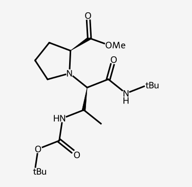 COC(=O)[C@@H]1CCCN1[C@@H](C(=O)NC(C)(C)C)C(C)NC(=O)OC(C)(C)C